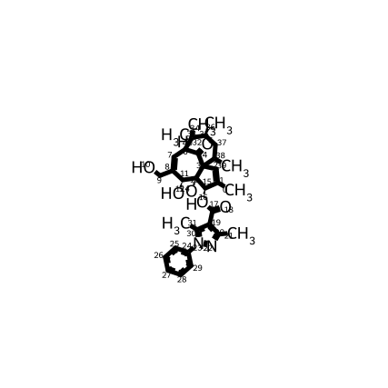 CC1=CC23C(=O)[C@@H](C=C(CO)[C@@H](O)[C@]2(O)[C@H]1OC(=O)c1c(C)nn(-c2ccccc2)c1C)C(C)(C)[C@@H](C)CC3C